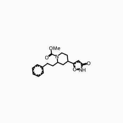 COC(=O)N1CCC(c2cc(=O)[nH]o2)CC1CCc1ccccc1